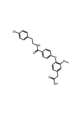 COc1cc(CC(=O)O)ccc1Oc1ccc(C(=O)NCCc2ccc(Cl)cc2)cc1